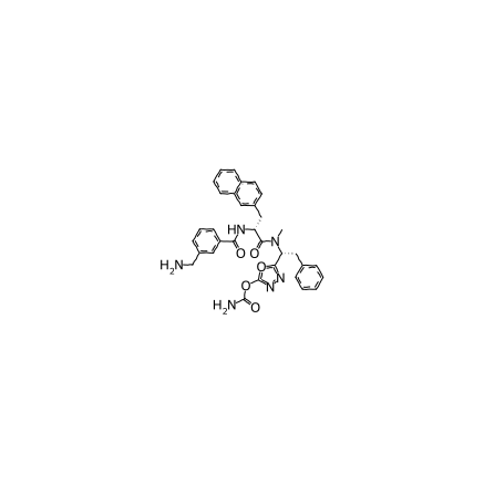 CN(C(=O)[C@@H](Cc1ccc2ccccc2c1)NC(=O)c1cccc(CN)c1)[C@H](Cc1ccccc1)c1nnc(OC(N)=O)o1